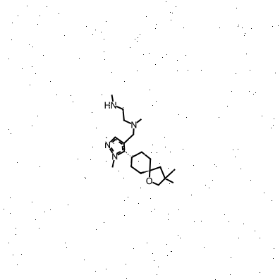 CNCCN(C)Cc1cnn(C)c1[C@H]1CC[C@@]2(CC1)CC(C)(C)CO2